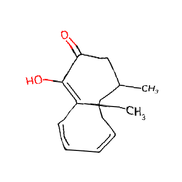 CC1CC(=O)C(O)=C2C=CC=CC21C